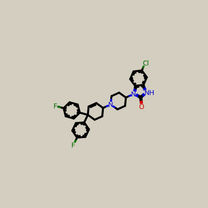 O=c1[nH]c2cc(Cl)ccc2n1C1CCN(C2C=CC(c3ccc(F)cc3)(c3ccc(F)cc3)CC2)CC1